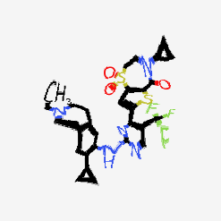 CCN1CCc2cc(Nc3ncc(C(F)(F)F)c(-c4cc5c(s4)C(=O)N(C4CC4)CCS5(=O)=O)n3)c(C3CC3)cc2C1